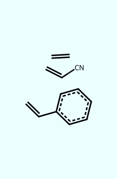 C=C.C=CC#N.C=Cc1ccccc1